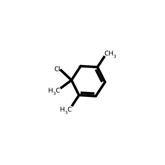 CC1=CC=C(C)C(C)(Cl)[CH]1